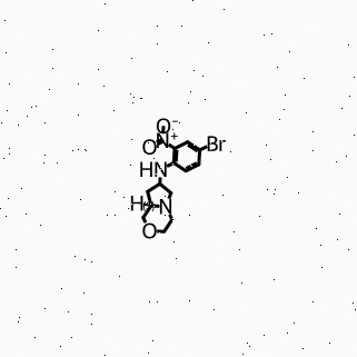 O=[N+]([O-])c1cc(Br)ccc1NC1C[C@H]2COCCN2C1